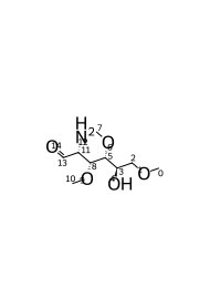 COC[C@@H](O)[C@@H](OC)[C@H](OC)[C@@H](N)C=O